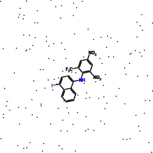 O=[N+]([O-])c1cc([N+](=O)[O-])c(Nc2ccc(I)c3ccccc23)c(C(F)(F)F)c1